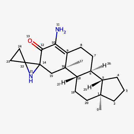 C[C@@]12CCC[C@H]1[C@@H]1CCC3=C(N)C(=O)C4(C[C@]3(C)[C@H]1CC2)NC41CC1